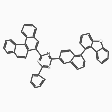 c1ccc(-c2nc(-c3ccc4c(-c5cccc6oc7ccccc7c56)cccc4c3)nc(-c3cc4ccccc4c4c3ccc3ccccc34)n2)cc1